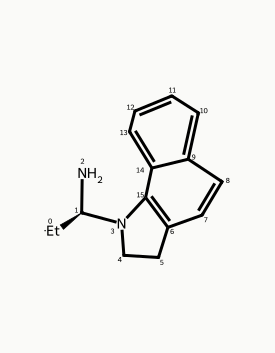 C[CH][C@@H](N)N1CCc2ccc3ccccc3c21